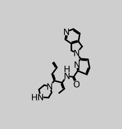 C=C/C=C(\C(=C/C)NC(=O)c1cccc(N2Cc3ccncc3C2)n1)N1CCNCC1